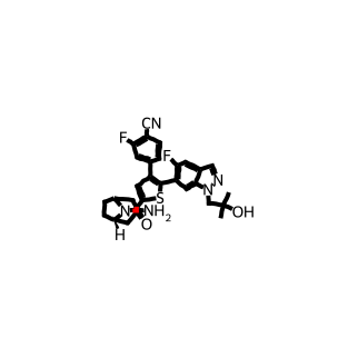 CC(C)(O)Cn1ncc2cc(F)c(-c3sc(C(=O)N4C5CC[C@H]4CC(N)C5)cc3-c3ccc(C#N)c(F)c3)cc21